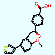 COc1ccc(-c2ccsc2)cc1CC(=O)c1ccc(C(=O)O)cc1